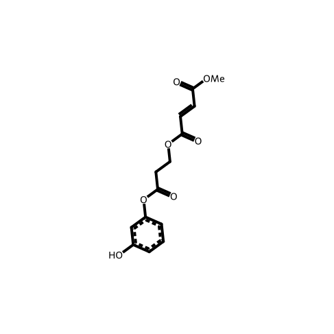 COC(=O)/C=C/C(=O)OCCC(=O)Oc1cccc(O)c1